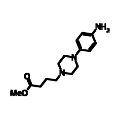 COC(=O)CCCN1CCN(c2ccc(N)cc2)CC1